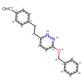 O=Cc1ccc(CCc2ccc(OCc3ccccc3)nn2)cc1